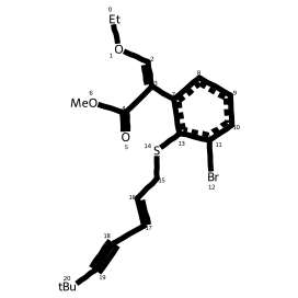 CCOC=C(C(=O)OC)c1cccc(Br)c1SCC=CC#CC(C)(C)C